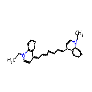 CCN1C=C/C(=C/C=C/C=C/C=C/C2C=CN(CC)c3ccccc32)c2ccccc21